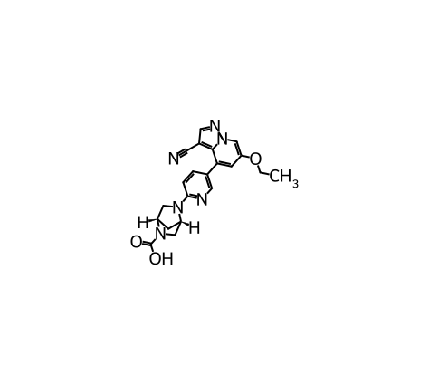 CCOc1cc(-c2ccc(N3C[C@@H]4C[C@H]3CN4C(=O)O)nc2)c2c(C#N)cnn2c1